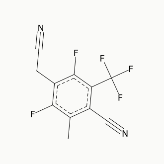 Cc1c(F)c(CC#N)c(F)c(C(F)(F)F)c1C#N